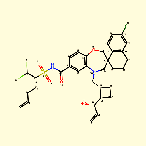 C=CCC[C@H](C(F)F)S(=O)(=O)NC(=O)c1ccc2c(c1)N(C[C@@H]1CC[C@H]1[C@@H](O)C=C)C[C@@]1(CCCc3cc(Cl)ccc31)CO2